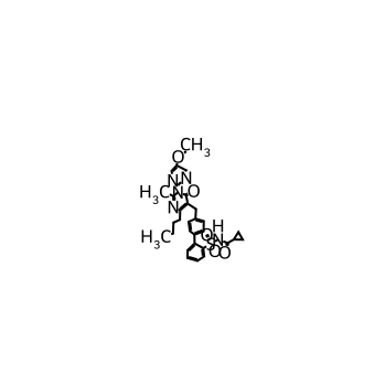 CCCCc1nc(C)n(-c2ncc(OCC)cn2)c(=O)c1Cc1ccc(-c2ccccc2S(=O)(=O)NC(=O)C2CC2)cc1